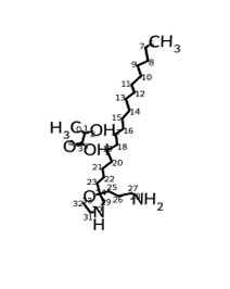 CC(O)C(=O)O.CCCCCCCCCCCCCCCCCCC1(CCCN)CNCCO1